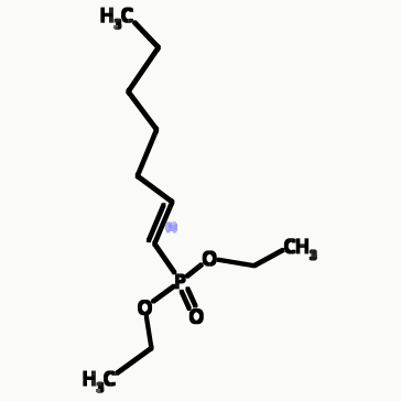 CCCCC/C=C/P(=O)(OCC)OCC